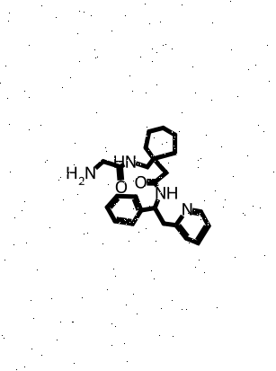 NCC(=O)NCC1(CC(=O)NC(Cc2ccccn2)c2ccccc2)CCCCC1